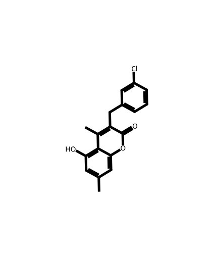 Cc1cc(O)c2c(C)c(Cc3cccc(Cl)c3)c(=O)oc2c1